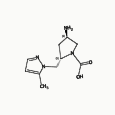 Cc1ccnn1C[C@@H]1C[C@@H](N)CN1C(=O)O